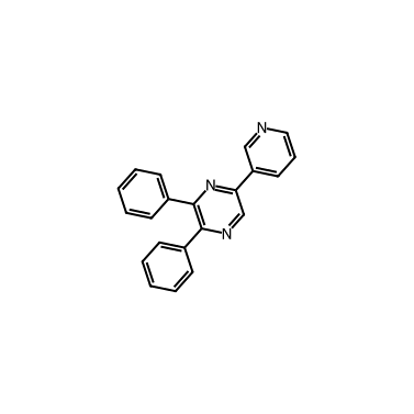 c1ccc(-c2ncc(-c3cccnc3)nc2-c2ccccc2)cc1